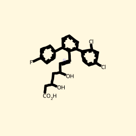 O=C(O)CC(O)CC(O)/C=C/c1c(-c2ccc(F)cc2)cccc1-c1ccc(Cl)cc1Cl